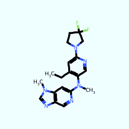 CCc1cc(N2CCC(F)(F)C2)ncc1N(C)c1cc2c(cn1)ncn2C